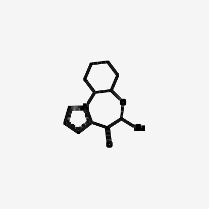 CC(C)(C)C1OC2CCCCC2n2cccc2C1=O